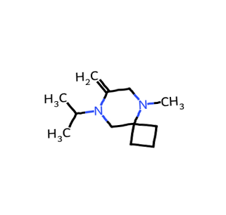 C=C1CN(C)C2(CCC2)CN1C(C)C